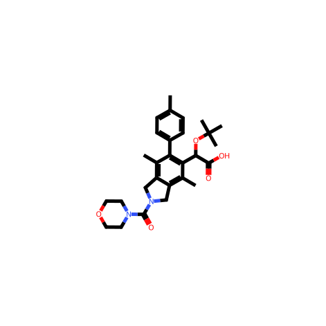 Cc1ccc(-c2c(C)c3c(c(C)c2C(OC(C)(C)C)C(=O)O)CN(C(=O)N2CCOCC2)C3)cc1